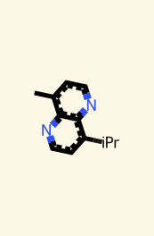 Cc1ccnc2c(C(C)C)ccnc12